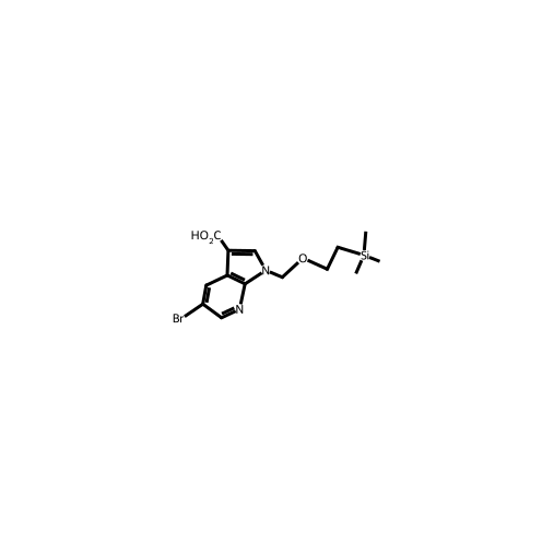 C[Si](C)(C)CCOCn1cc(C(=O)O)c2cc(Br)cnc21